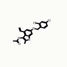 C=Cc1cc(OCc2ccc(Cl)cc2Cl)cc2sc(C)c(OC(C)=O)c12